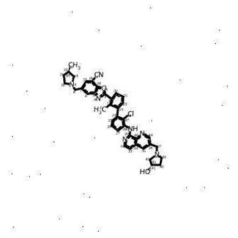 Cc1c(-c2nc3cc(CN4CC[C@@H](C)C4)cc(C#N)c3o2)cccc1-c1cccc(Nc2nccc3cc(CN4CC[C@H](O)C4)cnc23)c1Cl